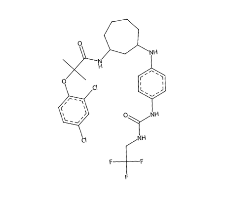 CC(C)(Oc1ccc(Cl)cc1Cl)C(=O)NC1CCCCC(Nc2ccc(NC(=O)NCC(F)(F)F)cc2)C1